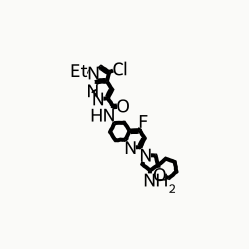 CCn1cc(Cl)c2cc(C(=O)NC3CCc4nc(N5CC(N)C6(CCCCO6)C5)cc(F)c4C3)nnc21